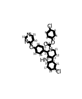 O=C(Oc1ccc(Cl)cc1)N1CCc2c([nH]c3ccc(Cl)cc23)C1c1ccc(Oc2ccncn2)cc1